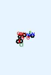 O=C(Nc1ccc2c(c1)OC1(c3ccc(Cl)cc3)C(c3ccccc3)CC(O)C21O)c1cccnc1F